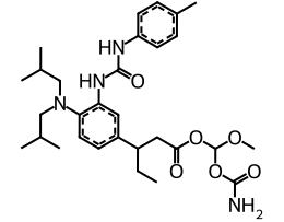 CCC(CC(=O)OC(OC)OC(N)=O)c1ccc(N(CC(C)C)CC(C)C)c(NC(=O)Nc2ccc(C)cc2)c1